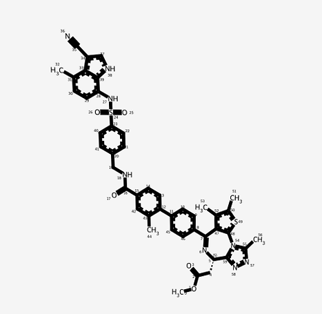 COC(=O)C[C@@H]1N=C(c2ccc(-c3ccc(C(=O)NCc4ccc(S(=O)(=O)Nc5ccc(C)c6c(C#N)c[nH]c56)cc4)cc3C)cc2)c2c(sc(C)c2C)-n2c(C)nnc21